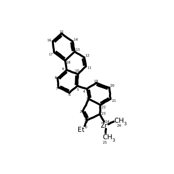 CCC1=Cc2c(-c3cccc4c3ccc3ccccc34)cccc2[CH]1[Zr]([CH3])[CH3]